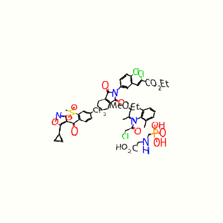 CCOC(=O)/C(Cl)=C/c1cc(N2C(=O)C3=C(CCCC3)C2=O)ccc1Cl.CCc1cccc(C)c1N(C(=O)CCl)C(C)COC.CS(=O)(=O)c1cc(C(F)(F)F)ccc1C(=O)c1cnoc1C1CC1.O=C(O)CNCP(=O)(O)O